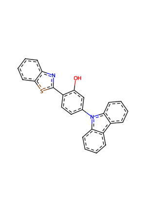 Oc1cc(-n2c3ccccc3c3ccccc32)ccc1-c1nc2ccccc2s1